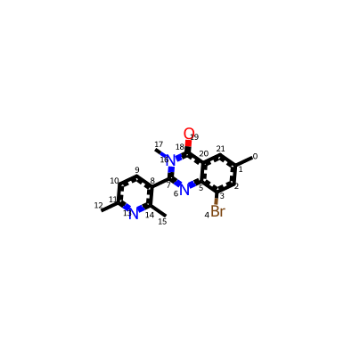 Cc1cc(Br)c2nc(-c3ccc(C)nc3C)n(C)c(=O)c2c1